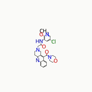 COc1ncc(Cl)cc1NC(=O)CN1CCc2nc3ccccc3c(C(=O)N3CCOCC3)c2C1